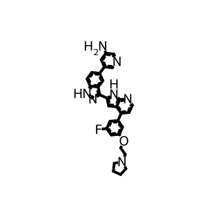 Nc1cncc(-c2ccc3[nH]nc(-c4cc5c(-c6cc(F)cc(OCCN7CCCC7)c6)ccnc5[nH]4)c3c2)c1